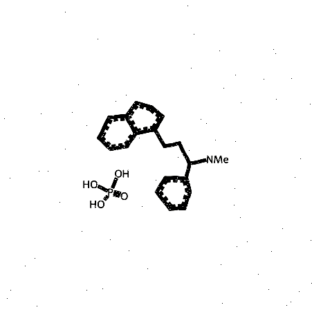 CNC(CCc1cccc2ccccc12)c1ccccc1.O=P(O)(O)O